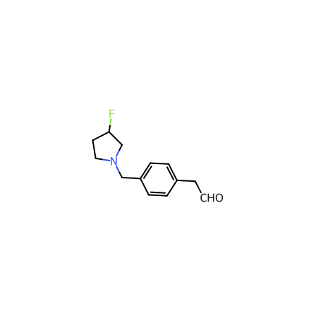 O=CCc1ccc(CN2CCC(F)C2)cc1